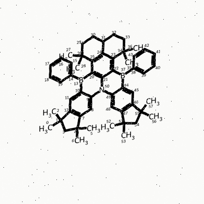 CC1(C)CC(C)(C)c2cc3c(cc21)B(c1ccccc1)c1c2c(c4c5c1C(C)(C)CCC5CCC4(C)C)B(c1ccccc1)c1cc4c(cc1N32)C(C)(C)CC4(C)C